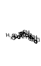 CN(c1ccc2c(c1)nc(NC(=O)Cc1ccccc1Cl)n2C)c1ccnc(Nc2ccc(CS(C)(=O)=O)cc2)n1